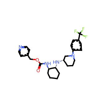 O=C(N[C@@H]1CCCC[C@H]1N[C@H]1CCCN(c2ccc(C(F)(F)F)cc2)C1)OCc1ccncc1